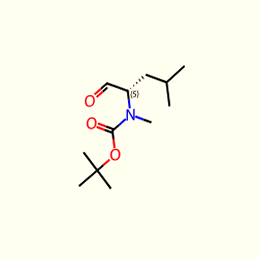 CC(C)C[C@@H](C=O)N(C)C(=O)OC(C)(C)C